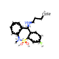 COCCCNC1c2ccccc2N(C)S(=O)(=O)c2cc(F)ccc21